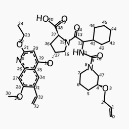 C=CCO[C@H]1CCCN(C(=O)NC(C(=O)N2C[C@H](Oc3cc(OCC)nc4cc(OC)c(C=C)cc34)C[C@H]2C(=O)O)C2CCCCC2)C1